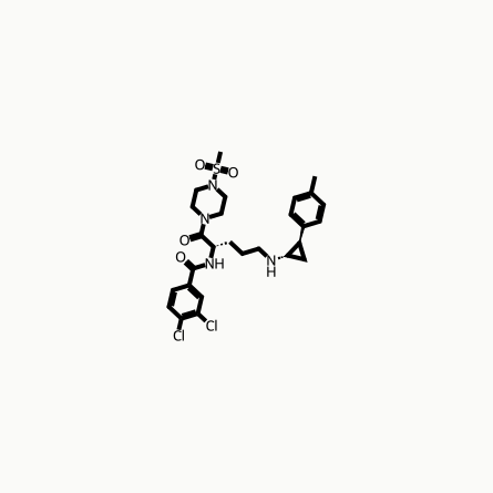 Cc1ccc([C@H]2C[C@@H]2NCCC[C@H](NC(=O)c2ccc(Cl)c(Cl)c2)C(=O)N2CCN(S(C)(=O)=O)CC2)cc1